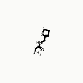 CCC(=O)NCC1=CCCS1